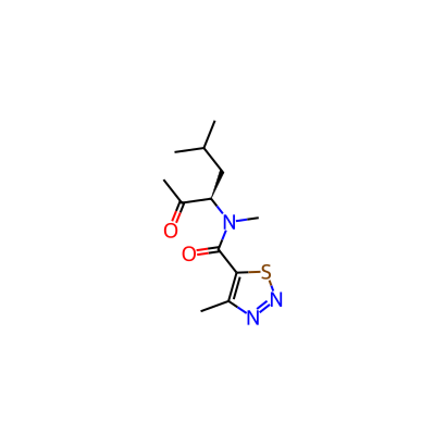 CC(=O)[C@@H](CC(C)C)N(C)C(=O)c1snnc1C